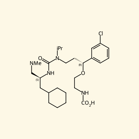 CNC[C@H](CC1CCCCC1)NC(=O)N(CC[C@@H](OCCNC(=O)O)c1cccc(Cl)c1)C(C)C